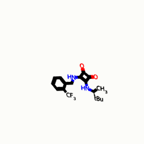 C[C@@H](Nc1c(NCc2ccccc2C(F)(F)F)c(=O)c1=O)C(C)(C)C